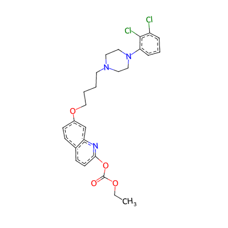 CCOC(=O)Oc1ccc2ccc(OCCCCN3CCN(c4cccc(Cl)c4Cl)CC3)cc2n1